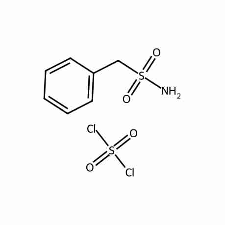 NS(=O)(=O)Cc1ccccc1.O=S(=O)(Cl)Cl